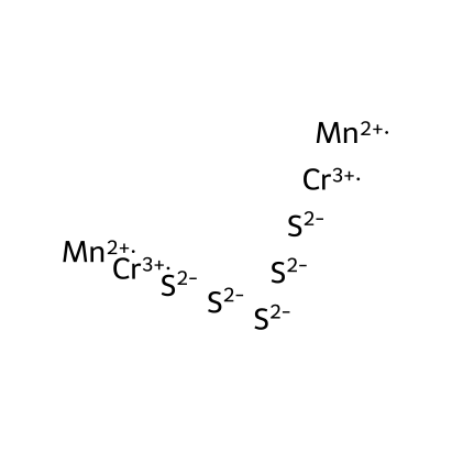 [Cr+3].[Cr+3].[Mn+2].[Mn+2].[S-2].[S-2].[S-2].[S-2].[S-2]